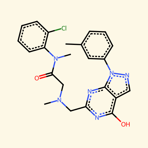 Cc1cccc(-n2ncc3c(O)nc(CN(C)CC(=O)N(C)c4ccccc4Cl)nc32)c1